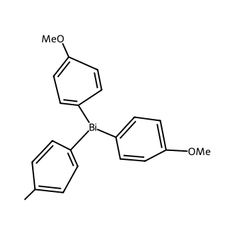 COc1cc[c]([Bi]([c]2ccc(C)cc2)[c]2ccc(OC)cc2)cc1